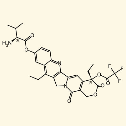 CCc1c2c(nc3ccc(OC(=O)[C@@H](N)C(C)C)cc13)-c1cc3c(c(=O)n1C2)COC(=O)[C@@]3(CC)OC(=O)C(F)(F)F